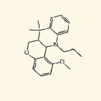 CCCN1c2ccccc2C(C)(C)C2COc3cccc(OC)c3C21